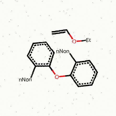 C=COCC.CCCCCCCCCc1ccccc1Oc1ccccc1CCCCCCCCC